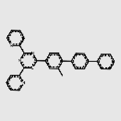 Cc1cc(-c2nc(-c3ccccn3)nc(-c3ccccn3)n2)ccc1-c1ccc(-c2ccccc2)cc1